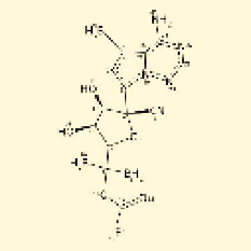 Bc1cc([C@]2(C#N)OC(C(B)(B)OC(=O)C(C)C)[C@@H](O)[C@H]2O)n2ncnc(N)c12